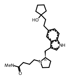 CNC(=O)CCCN1CCC[C@@H]1Cc1c[nH]c2ccc(CCC3(O)CCCC3)cc12